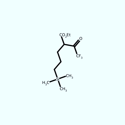 CCOC(=O)C(CCC[Si](C)(C)C)C(=O)C(F)(F)F